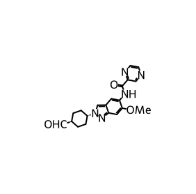 COc1cc2nn([C@H]3CC[C@H](C=O)CC3)cc2cc1NC(=O)c1cnccn1